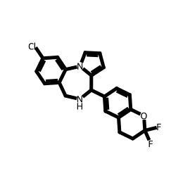 FC1(F)CCc2cc(C3NCc4ccc(Cl)cc4-n4cccc43)ccc2O1